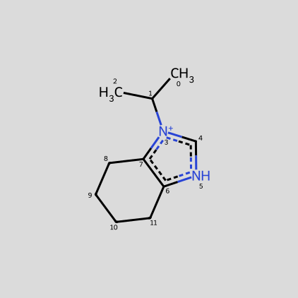 CC(C)[n+]1c[nH]c2c1CCCC2